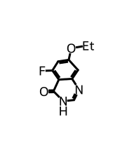 CCOc1cc(F)c2c(=O)[nH]cnc2c1